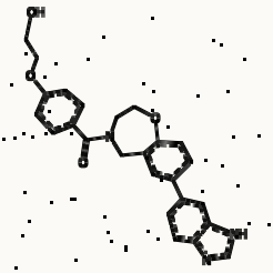 O=C(c1ccc(OCCO)cc1)N1CCOc2ccc(-c3ccc4nc[nH]c4c3)cc2C1